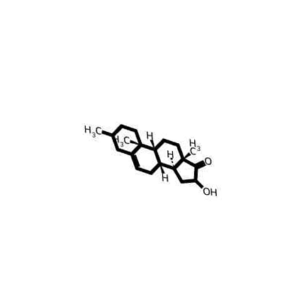 CC1CC[C@@]2(C)C(=CC[C@@H]3[C@H]2CC[C@]2(C)C(=O)C(O)C[C@@H]32)C1